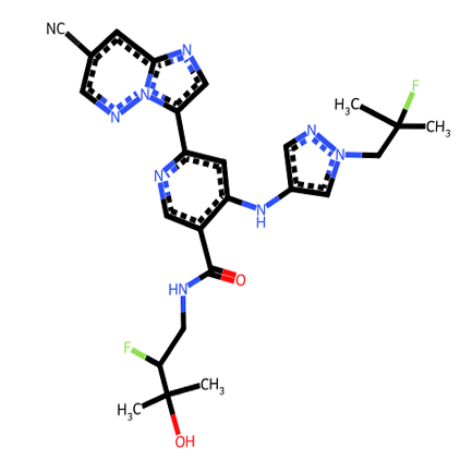 CC(C)(F)Cn1cc(Nc2cc(-c3cnc4cc(C#N)cnn34)ncc2C(=O)NCC(F)C(C)(C)O)cn1